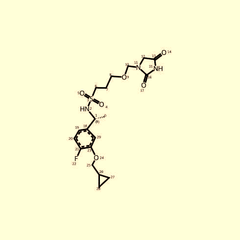 C[C@@H](NS(=O)(=O)CCCOCN1CC(=O)NC1=O)c1ccc(F)c(OCC2CC2)c1